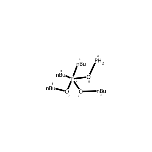 CCCCOP(CCCC)(CCCC)(OP)OCCCC